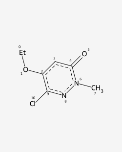 CCOc1cc(=O)n(C)nc1Cl